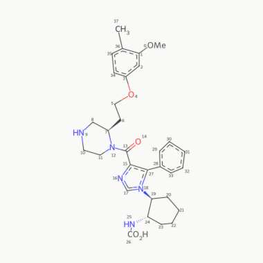 COc1cc(OCC[C@@H]2CNCCN2C(=O)c2ncn([C@H]3CCCC[C@@H]3NC(=O)O)c2-c2ccccc2)ccc1C